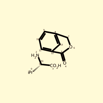 CC(C)[C@H](N)C(=O)O.O=C1OCc2cccc1c2